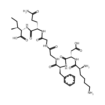 CC[C@H](C)[C@H](NC(=O)[C@H](CCC(N)=O)NC(=O)CNC(=O)CNC(=O)[C@H](Cc1ccccc1)NC(=O)[C@H](CC(=O)O)NC(=O)[C@@H](N)CCCCN)C(=O)O